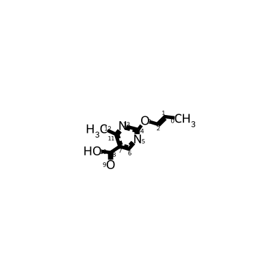 CC=COc1ncc(C(=O)O)c(C)n1